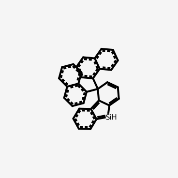 C1=CC(c2cccc3ccccc23)(c2cccc3ccccc23)C2=c3ccccc3=[SiH]C2=C1